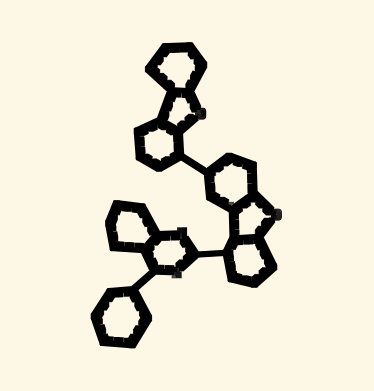 c1ccc(-c2nc(-c3cccc4oc5ccc(-c6cccc7c6oc6ccccc67)cc5c34)nc3ccccc23)cc1